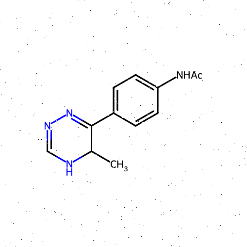 CC(=O)Nc1ccc(C2=NN=CNC2C)cc1